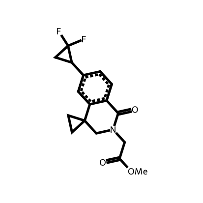 COC(=O)CN1CC2(CC2)c2cc(C3CC3(F)F)ccc2C1=O